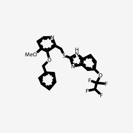 COc1ccnc(CSc2nc3cc(OC(F)(F)C(F)F)ccc3[nH]2)c1OCc1ccccc1